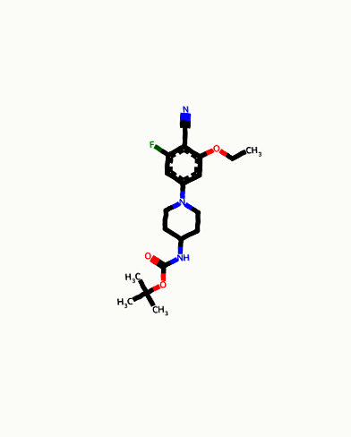 CCOc1cc(N2CCC(NC(=O)OC(C)(C)C)CC2)cc(F)c1C#N